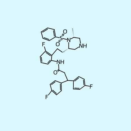 C[C@@H]1CNC[C@H](CCc2c(F)cccc2NC(=O)CC(c2ccc(F)cc2)c2ccc(F)cc2)N1S(=O)(=O)c1ccccc1